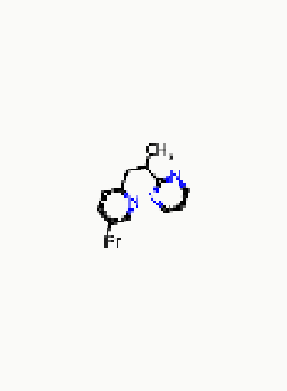 CC(C)c1ccc(CC(C)c2ncccn2)nc1